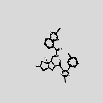 Cc1cccc(-c2sc(C)nc2C(=O)N2CC3CC(C)C[C@@H]3C2CNC(=O)c2cccc3oc(C)nc23)c1